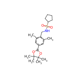 Cc1cc(B2OC(C)(C)C(C)(C)O2)cc(C)c1CNS(=O)(=O)C1CCCC1